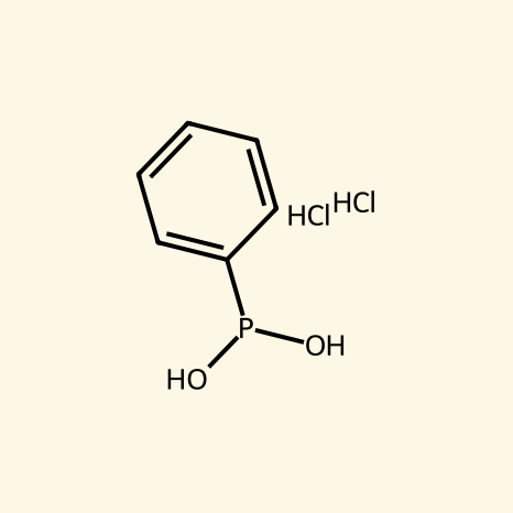 Cl.Cl.OP(O)c1ccccc1